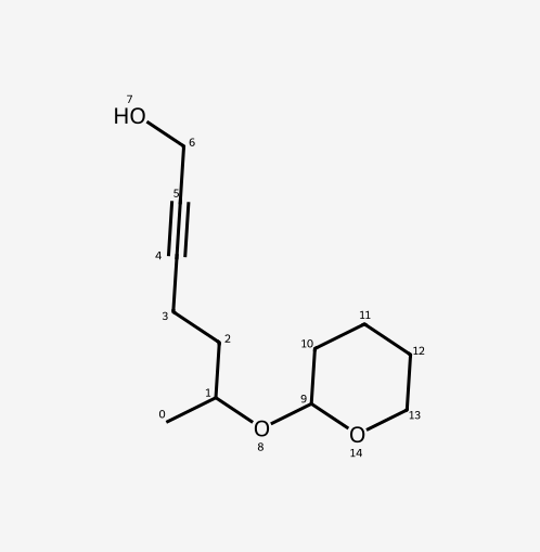 CC(CCC#CCO)OC1CCCCO1